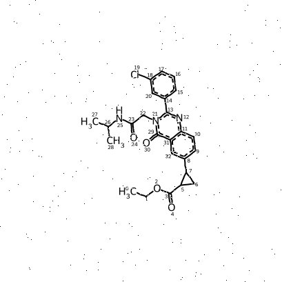 CCOC(=O)C1CC1c1ccc2nc(-c3cccc(Cl)c3)n(CC(=O)NC(C)C)c(=O)c2c1